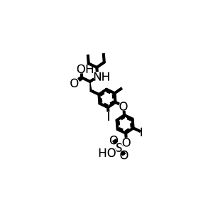 CCC(CC)N[C@@H](Cc1cc(C)c(Oc2ccc(OS(=O)(=O)O)c(I)c2)c(I)c1)C(=O)O